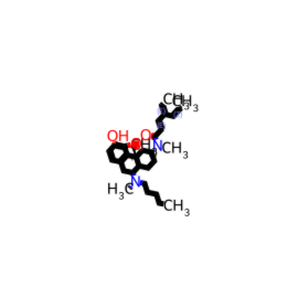 C\C=C/C(/C=C/C(=O)N(C)[C@H]1CCC2C(N(C)CCCCC)Cc3ccc(O)c4c3[C@]2(CC)C1O4)=C\C